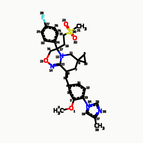 COc1cc(/C=C2\CC3(CC3)CN3C2=NOCC3(CCS(C)(=O)=O)c2ccc(F)cc2)ccc1-n1cnc(C)c1